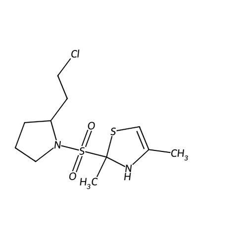 CC1=CSC(C)(S(=O)(=O)N2CCCC2CCCl)N1